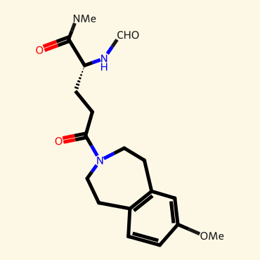 CNC(=O)[C@@H](CCC(=O)N1CCc2ccc(OC)cc2CC1)NC=O